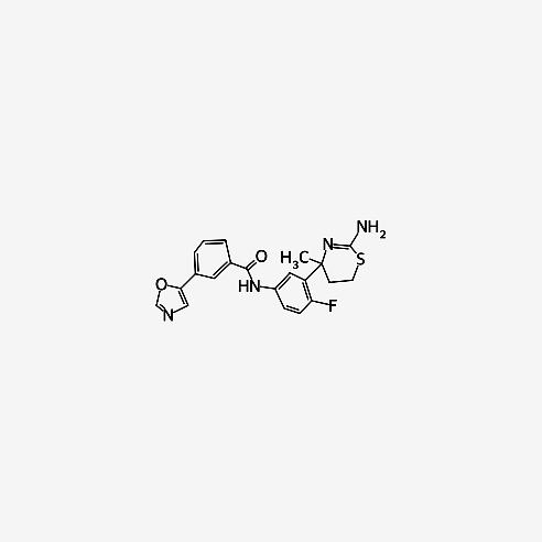 CC1(c2cc(NC(=O)c3cccc(-c4cnco4)c3)ccc2F)CCSC(N)=N1